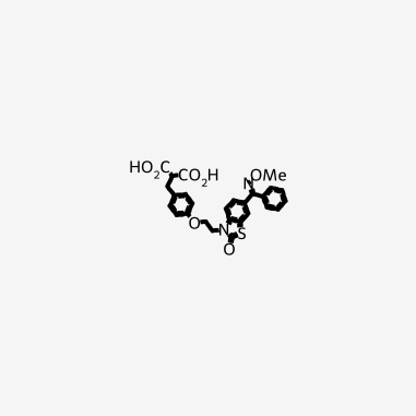 CON=C(c1ccccc1)c1ccc2c(c1)sc(=O)n2CCOc1ccc(CC(C(=O)O)C(=O)O)cc1